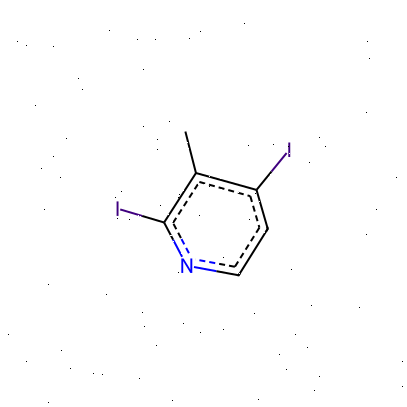 Cc1c(I)ccnc1I